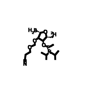 [2H]C[C@H]1O[C@@H](B)C(OCOCCC#N)[C@H]1OP(C)N(C(C)C)C(C)C